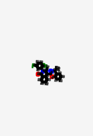 CC[C@H](NC(=O)c1c(CBr)n(-c2cccc(F)c2)c(=O)c2ccccc12)c1ccccc1